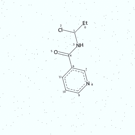 CCC(Cl)NC(=O)c1[c]nccc1